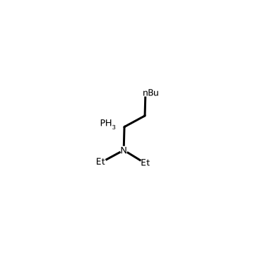 CCCCCCN(CC)CC.P